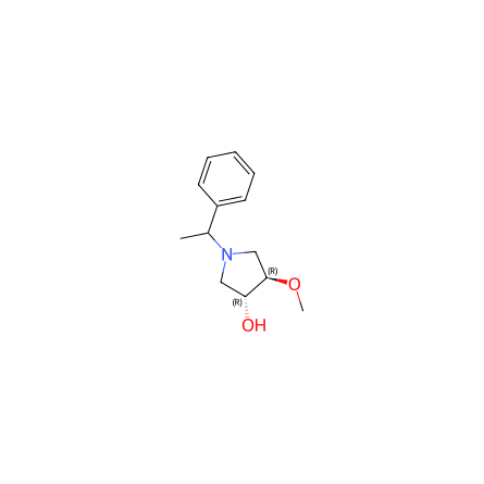 CO[C@@H]1CN(C(C)c2ccccc2)C[C@H]1O